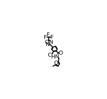 Cc1ccc(CNC(=O)c2ccc(-c3noc(C(F)(F)F)n3)cc2Cl)o1